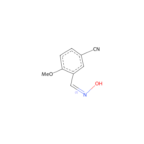 COc1ccc(C#N)cc1/C=N\O